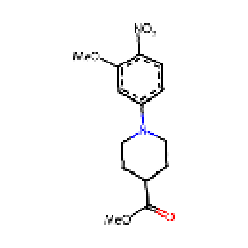 COC(=O)C1CCN(c2ccc([N+](=O)[O-])c(OC)c2)CC1